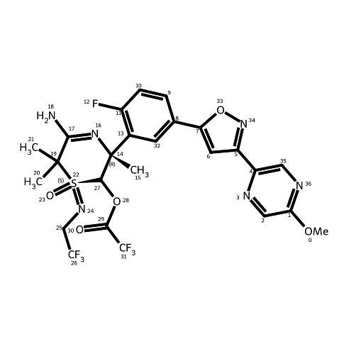 COc1cnc(-c2cc(-c3ccc(F)c([C@@]4(C)N=C(N)C(C)(C)[S@@](=O)(=NCC(F)(F)F)C4OC(=O)C(F)(F)F)c3)on2)cn1